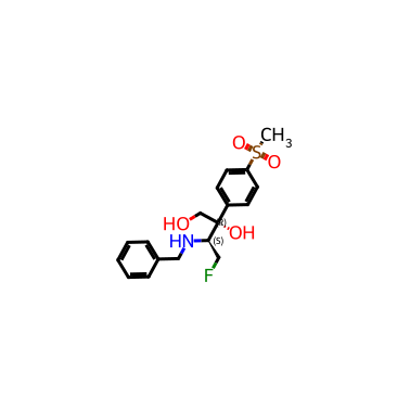 CS(=O)(=O)c1ccc([C@](O)(CO)[C@@H](CF)NCc2ccccc2)cc1